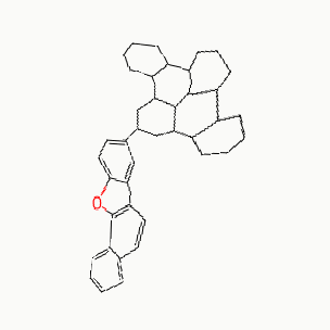 c1ccc2c(c1)ccc1c3cc(C4CC5C6CCCCC6C6CCCC7C8CCCCC8C(C4)C5C67)ccc3oc21